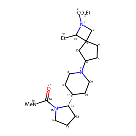 CCOC(=O)N1CC2(CCC(N3CCC([C@@H]4CCCN4C(=O)NC)CC3)C2)C1CC